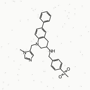 Cn1cncc1CN1CC(NCc2ccc(S(C)(=O)=O)cc2)Cc2cc(-c3ccccc3)ccc21